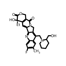 CC[C@@]1(O)C(=O)OCc2c1cc1n(c2=O)Cc2c-1nc1cc(F)c(C)cc1c2CN1CCCCC1CO